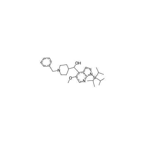 COc1cnc2c(ccn2[Si](C(C)C)(C(C)C)C(C)C)c1C(O)C1CCN(Cc2ccccc2)CC1